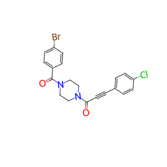 O=C(C#Cc1ccc(Cl)cc1)N1CCN(C(=O)c2ccc(Br)cc2)CC1